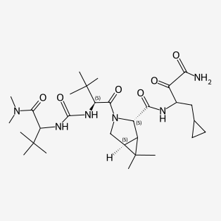 CN(C)C(=O)C(NC(=O)N[C@H](C(=O)N1C[C@H]2C([C@H]1C(=O)NC(CC1CC1)C(=O)C(N)=O)C2(C)C)C(C)(C)C)C(C)(C)C